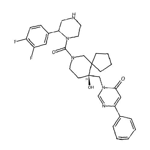 O=C(N1CC[C@@](O)(Cn2cnc(-c3ccccc3)cc2=O)C2(CCCC2)C1)N1CCNCC1c1ccc(F)c(F)c1